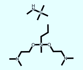 CCC[Si](C)(OCCN(C)C)OCCN(C)C.CN[Si](C)(C)C